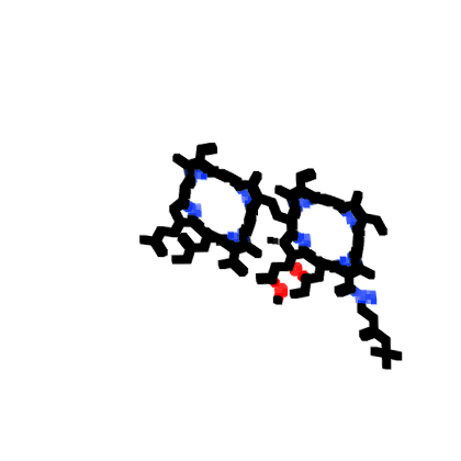 C=Cc1c(C)c2cc3nc(c(CC(=C)CC)c4[nH]c(cc5nc(cc1[nH]2)C(C)=C5CCc1c2nc(c(CC(=O)CC)c5[nH]c(cc6nc(cc7[nH]c1c(C)c7C=C)C(C)=C6CC)c(C)c5C(=C)NCCC(=C)CC(C)(C)C)C(CCC(=C)OC)[C@@H]2C)c(C)c4C(=C)C)C(CCC(=C)C)C3